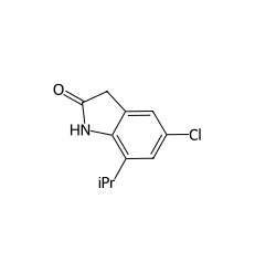 CC(C)c1cc(Cl)cc2c1NC(=O)C2